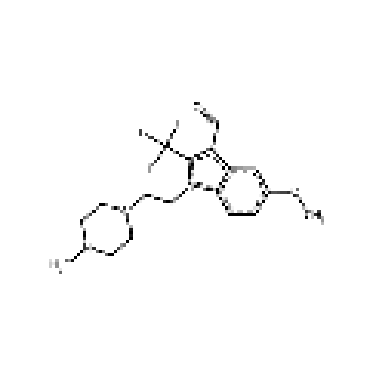 COc1ccc2c(c1)c(C=O)c(C(F)(F)F)n2CCN1CCN(C)CC1